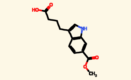 COC(=O)c1ccc2c(CCCC(=O)O)c[nH]c2c1